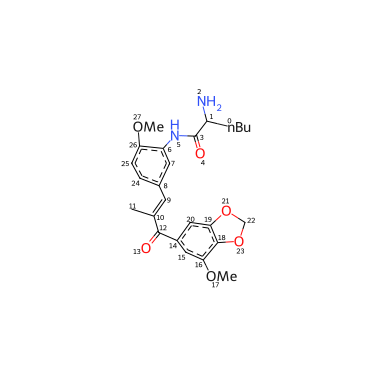 CCCCC(N)C(=O)Nc1cc(C=C(C)C(=O)c2cc(OC)c3c(c2)OCO3)ccc1OC